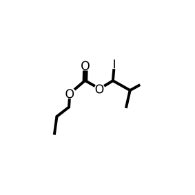 CCCOC(=O)OC(I)C(C)C